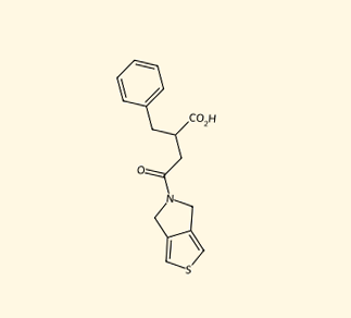 O=C(O)C(CC(=O)N1Cc2cscc2C1)Cc1ccccc1